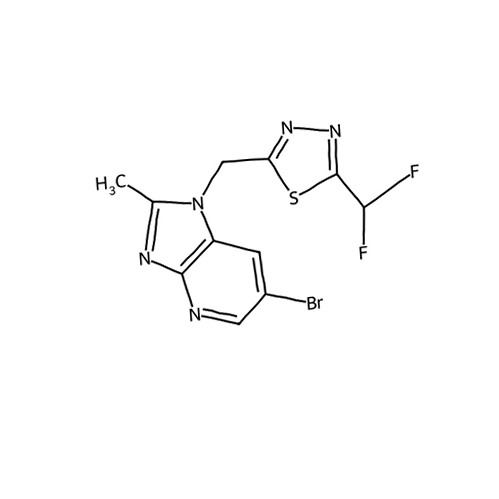 Cc1nc2ncc(Br)cc2n1Cc1nnc(C(F)F)s1